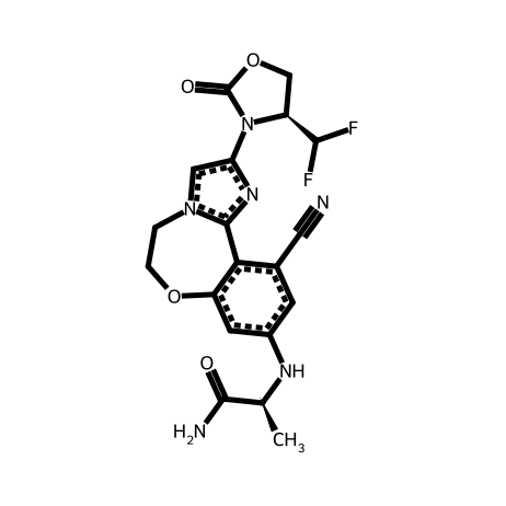 C[C@H](Nc1cc(C#N)c2c(c1)OCCn1cc(N3C(=O)OC[C@H]3C(F)F)nc1-2)C(N)=O